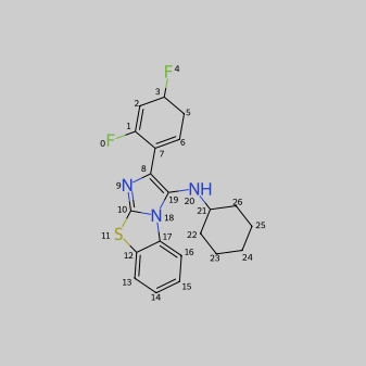 FC1=CC(F)CC=C1c1nc2sc3ccccc3n2c1NC1CCCCC1